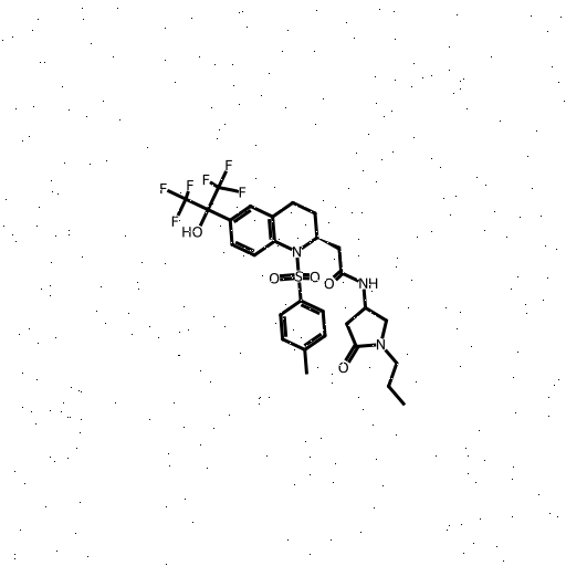 CCCN1CC(NC(=O)C[C@@H]2CCc3cc(C(O)(C(F)(F)F)C(F)(F)F)ccc3N2S(=O)(=O)c2ccc(C)cc2)CC1=O